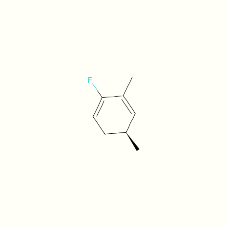 CC1=C[C@@H](C)CC=C1F